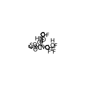 O=S(=O)(C[C@H]1CN(S(=O)(=O)c2cccs2)CCN1c1ccc(C(O)(CF)C(F)F)cc1)Nc1cccc(F)c1